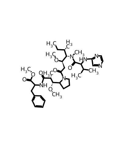 CC[C@H](C)[C@@H]([C@@H](CC(=O)N1CCCC1[C@H](OC)[C@@H](C)C(=O)NC(Cc1ccccc1)C(=O)OC)OC)N(C)C(=O)C(Nc1cnccn1)C(C)C